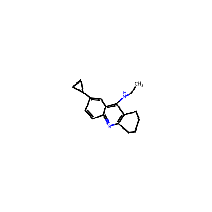 CCNc1c2c(nc3ccc(C4CC4)cc13)CCCC2